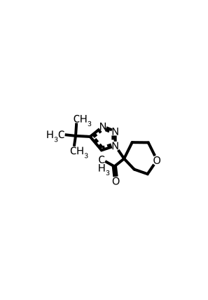 CC(=O)C1(n2cc(C(C)(C)C)nn2)CCOCC1